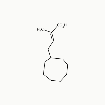 CC(=CCC1CCCCCCC1)C(=O)O